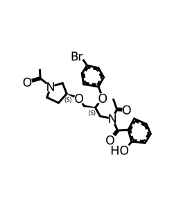 CC(=O)N1CC[C@H](OC[C@H](CN(C(C)=O)C(=O)c2ccccc2O)Oc2ccc(Br)cc2)C1